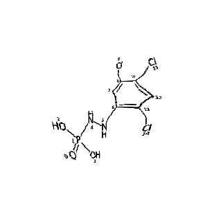 O=P(O)(O)NNc1cc(Cl)c(Cl)cc1Cl